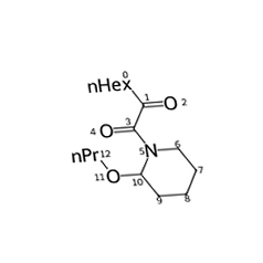 CCCCCCC(=O)C(=O)N1CCCCC1OCCC